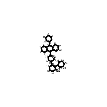 c1ccc(-c2c3ccccc3c(-c3ccc(-c4cccc5oc6ccccc6c45)cn3)c3ccccc23)cc1